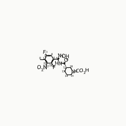 Cc1c(F)cc(/C(=N/O)NC(=O)[C@@H]2CCCN(C(=O)O)C2)c(F)c1[N+](=O)[O-]